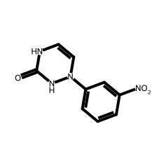 O=C1NC=CN(c2cccc([N+](=O)[O-])c2)N1